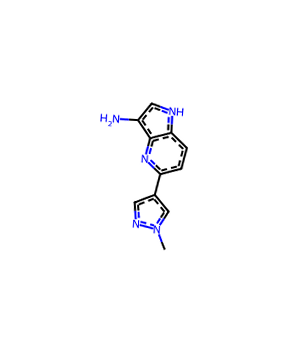 Cn1cc(-c2ccc3[nH]cc(N)c3n2)cn1